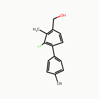 Cc1c(CO)ccc(-c2ccc(C#N)cc2)c1F